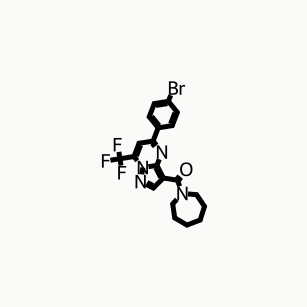 O=C(c1cnn2c(C(F)(F)F)cc(-c3ccc(Br)cc3)nc12)N1CCCCCC1